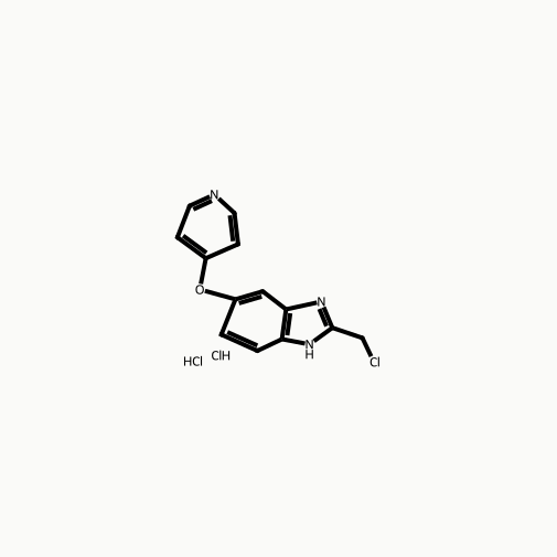 Cl.Cl.ClCc1nc2cc(Oc3ccncc3)ccc2[nH]1